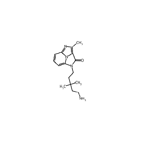 Cc1nc2cccc3n(CCC(C)(C)CCN)c(=O)c1n23